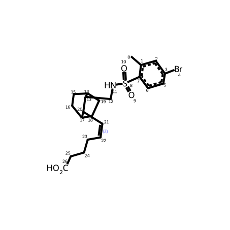 Cc1cc(Br)ccc1S(=O)(=O)NCC1C2CCC(CC2)C1/C=C\CCCC(=O)O